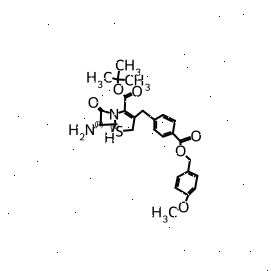 COc1ccc(COC(=O)c2ccc(CC3=C(C(=O)OC(C)(C)C)N4C(=O)[C@@H](N)[C@H]4SC3)cc2)cc1